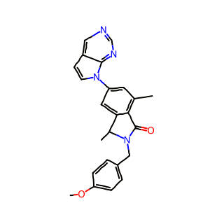 COc1ccc(CN2C(=O)c3c(C)cc(-n4ccc5cncnc54)cc3C2C)cc1